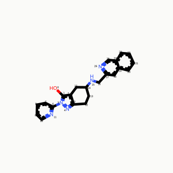 Oc1c2c(nn1-c1ccccn1)CCC(NCc1cc3ccccc3cn1)C2